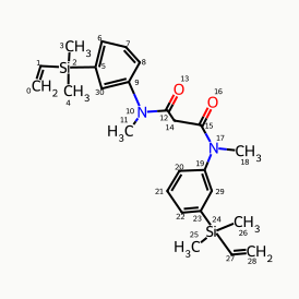 C=C[Si](C)(C)c1cccc(N(C)C(=O)CC(=O)N(C)c2cccc([Si](C)(C)C=C)c2)c1